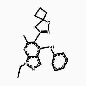 CCn1ncc2c(Nc3ccccc3)c(C3=NOC4(CCC4)C3)c(C)nc21